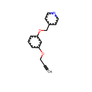 C#CCOc1cccc(OCc2ccncc2)c1